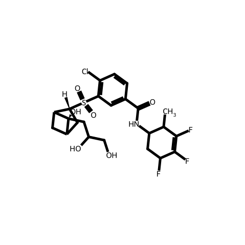 CC1C(F)=C(F)C(F)CC1NC(=O)c1ccc(Cl)c(S(=O)(=O)[C@@H]2CC3CC2[C@@]3(O)CC(O)CO)c1